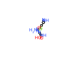 Nc1nc(OC(c2ccc(-c3ccc4[nH]ncc4c3)cc2)C(F)(F)F)cc(N2CCC3(CC2)CNC(C(=O)O)C3)n1